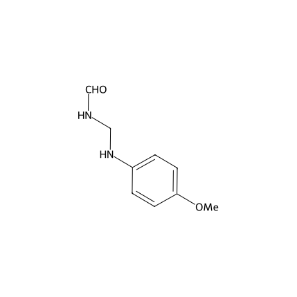 COc1ccc(NCNC=O)cc1